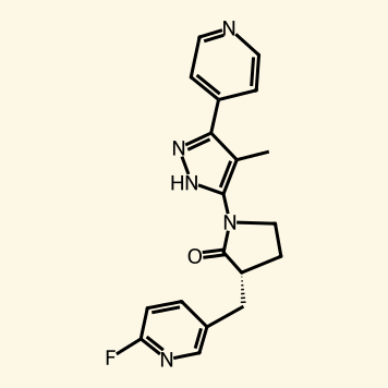 Cc1c(-c2ccncc2)n[nH]c1N1CC[C@H](Cc2ccc(F)nc2)C1=O